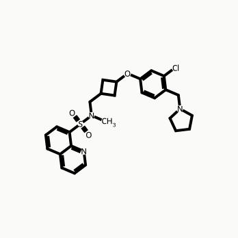 CN(CC1CC(Oc2ccc(CN3CCCC3)c(Cl)c2)C1)S(=O)(=O)c1cccc2cccnc12